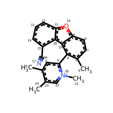 Cc1cc(-c2c(C)ccc3oc4cccc(C#N)c4c23)[n+](C)cc1C